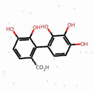 O=[13C](O)c1ccc(O)c(O)c1-c1ccc(O)c(O)c1O